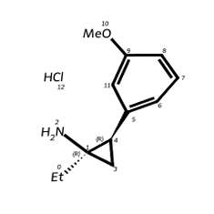 CC[C@@]1(N)C[C@@H]1c1cccc(OC)c1.Cl